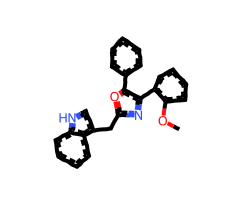 COc1ccccc1-c1nc(Cc2c[nH]c3ccccc23)oc1-c1ccccc1